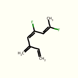 C=CC(=C)/C=C(F)\C=C(/C)F